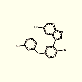 N#Cc1cnc(Sc2cccc(Br)c2)nc1-c1c[nH]c2ncc(C(F)(F)F)cc12